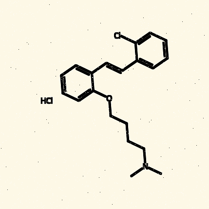 CN(C)CCCCOc1ccccc1/C=C/c1ccccc1Cl.Cl